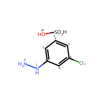 NNc1cccc(Cl)c1.O=S(=O)(O)O